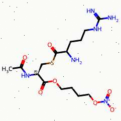 CC(=O)N[C@@H](CSC(=O)C(N)CCCNC(=N)N)C(=O)OCCCCO[N+](=O)[O-]